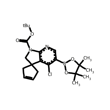 CC(C)(C)OC(=O)N1CC2(CC=CC2)c2c1ncc(B1OC(C)(C)C(C)(C)O1)c2Cl